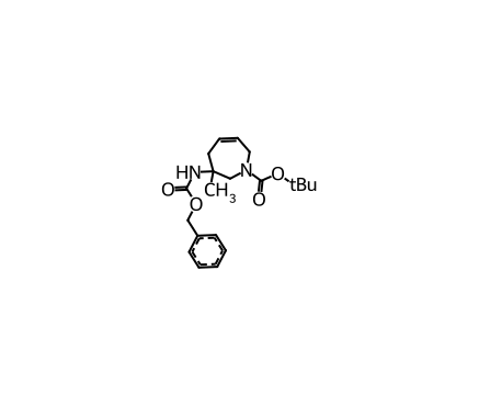 CC1(NC(=O)OCc2ccccc2)CC=CCN(C(=O)OC(C)(C)C)C1